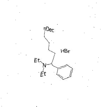 Br.CCCCCCCCCCCCCCC(c1ccccc1)N(CC)CC